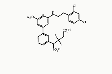 COc1nc(NCCc2ccc(Cl)cc2Cl)cc(-c2cccc(C(C(F)(F)CC(=O)O)S(=O)(=O)O)c2)n1